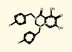 O=C1c2c(O)c(=O)c(O)cn2N(Cc2ccc(F)cc2)CN1Cc1ccc(F)cc1